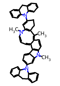 Cc1c2c(n(C)cccc3c1ccc1c3c3ccc(N4c5ccccc5Cc5ccccc54)cc3n1C)C=C(N1c3ccccc3Cc3ccccc31)CC2